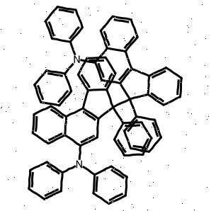 c1ccc(N(c2ccccc2)c2cc3c(c4ccccc24)-c2ccccc2C3(c2ccccc2)C2(c3ccccc3)c3ccccc3-c3c2cc(N(c2ccccc2)c2ccccc2)c2ccccc32)cc1